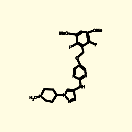 COc1cc(OC)c(F)c(COc2cnc(Nc3cnn(C4CCN(C)CC4)c3)nc2)c1F